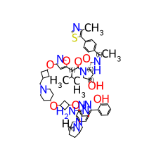 Cc1ncsc1-c1ccc([C@H](C)NC(=O)[C@@H]2C[C@@H](O)CN2C(=O)[C@H](c2cc(OC3CC(CN4CCC(OC5CC(Oc6cc(N7C8CC[C@@H]7CN(c7cc(-c9ccccc9O)nnc7N)C8)ccn6)C5)CC4)C3)no2)C(C)C)cc1